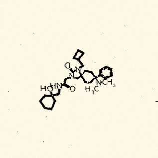 CN(C)[C@]1(c2ccccc2)CC[C@@]2(CC1)CN(CC(=O)NCC1(O)CCCCC1)C(=O)N2CC1CCC1